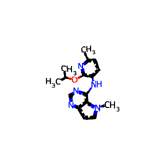 Cc1ccc(Nc2ncnc3ccn(C)c23)c(OC(C)C)n1